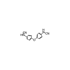 N#CNc1ccc(Oc2ccc(NC#N)cc2)cc1